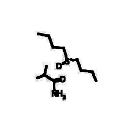 CC(C)C(N)=O.CCCC[S+]([O-])CCCC